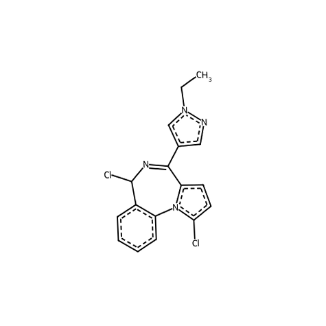 CCn1cc(C2=NC(Cl)c3ccccc3-n3c(Cl)ccc32)cn1